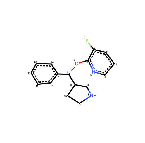 Fc1cccnc1O[C@@H](c1ccccc1)C1CCNC1